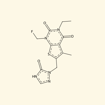 CCn1c(=O)c2c(C)c(Cn3nc[nH]c3=O)sc2n(CF)c1=O